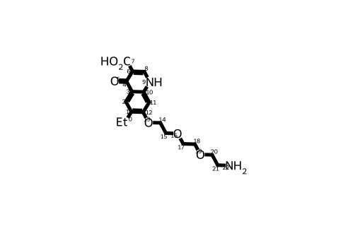 CCc1cc2c(=O)c(C(=O)O)c[nH]c2cc1OCCOCCOCCN